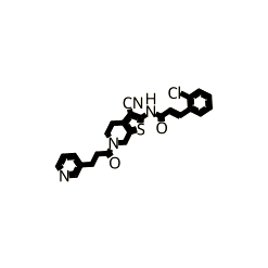 N#Cc1c(NC(=O)C=Cc2ccccc2Cl)sc2c1CCN(C(=O)CCc1cccnc1)C2